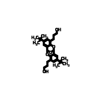 CC(C)(C)c1cc(CCCO)c2c(c1)C1Oc3c(CCCO)cc(C(C)(C)C)cc3C(O2)O1